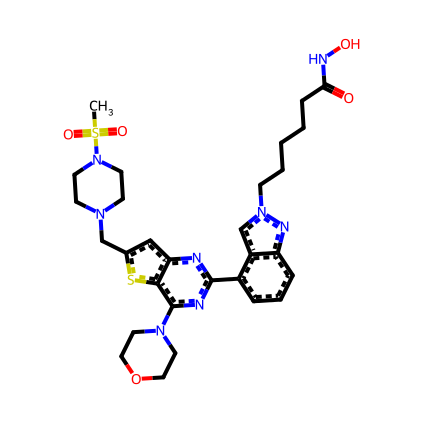 CS(=O)(=O)N1CCN(Cc2cc3nc(-c4cccc5nn(CCCCCC(=O)NO)cc45)nc(N4CCOCC4)c3s2)CC1